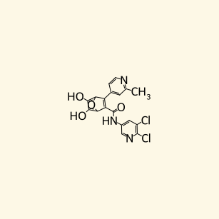 Cc1cc(-c2c(C(=O)Nc3cnc(Cl)c(Cl)c3)c3oc2c(O)c3O)ccn1